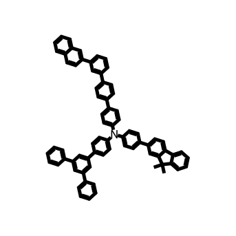 CC1(C)c2ccccc2-c2ccc(-c3ccc(N(c4ccc(-c5ccc(-c6cccc(-c7ccc8ccccc8c7)c6)cc5)cc4)c4ccc(-c5cc(-c6ccccc6)cc(-c6ccccc6)c5)cc4)cc3)cc21